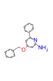 Nc1cc(OCc2ccccc2)cc(-c2ccccc2)n1